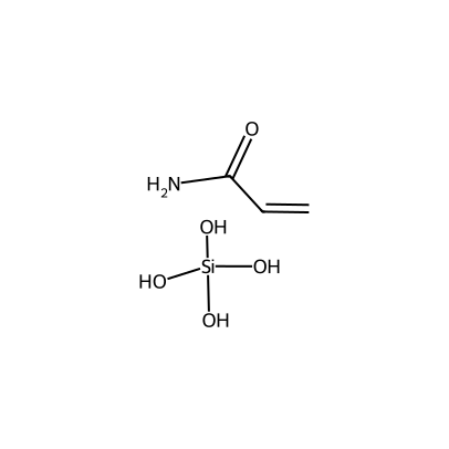 C=CC(N)=O.O[Si](O)(O)O